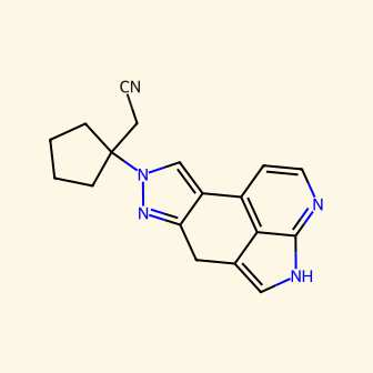 N#CCC1(n2cc3c(n2)Cc2c[nH]c4nccc-3c24)CCCC1